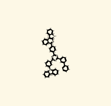 c1ccc(-c2cccc(-c3nc(-c4ccc(-c5nc6sc7ccccc7c6c6ccccc56)cc4)nc(-c4cccc(-n5c6ccccc6c6ccccc65)c4)n3)c2)cc1